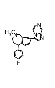 CN1CCC(c2ccc(F)cc2)c2ccc(-c3cnc4cnccn34)cc2C1